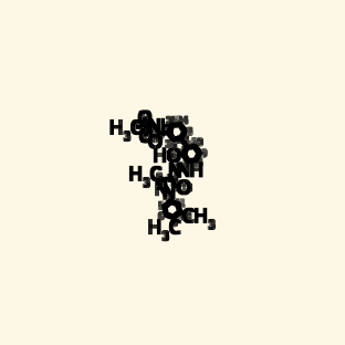 CC1=NN(c2ccc(C)c(C)c2)C(=O)C1=NNc1cccc(-c2cccc(C(=O)NS(C)(=O)=O)c2)c1O